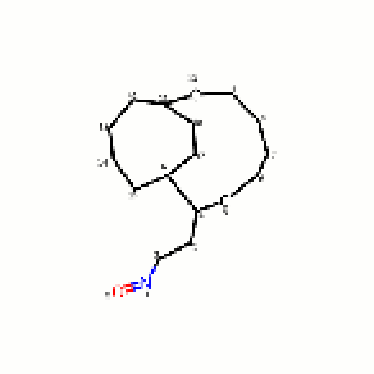 O=NCCC1CCCCCCC2CCCCC1CC2